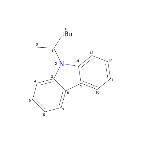 CC(n1c2ccccc2c2ccccc21)C(C)(C)C